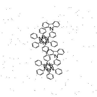 c1ccc(B2N(c3ccccc3)B(c3ccccc3)N(c3ccc(-c4ccc(N5B(c6ccccc6)N(c6ccccc6)B(c6ccccc6)N(c6cccc(-n7c8ccccc8c8ccccc87)c6)B5c5ccccc5)cc4)cc3)B(c3cccc(-n4c5ccccc5c5ccccc54)c3)N2c2ccccc2)cc1